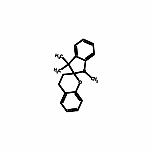 CN1c2ccccc2C(C)(C)C12CCc1ccccc1O2